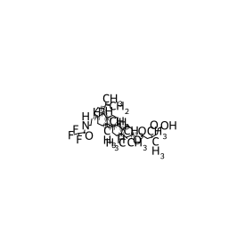 C=C(C)[C@@H]1CC[C@]2(CCNC(=O)C(F)(F)F)CC[C@]3(C)[C@H](CC[C@@H]4[C@@]5(C)CC[C@H](OC(=O)CC(C)(C)CC(=O)O)C(C)(C)[C@@H]5CC[C@]43C)[C@@H]12